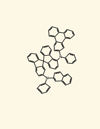 c1ccc(N(c2ccc3c(c2)C2(c4ccccc4-3)c3ccccc3-c3c(N(c4ccccc4)c4ccc5c6ccccc6c6ccccc6c5c4)cccc32)c2ccc3ccccc3c2)cc1